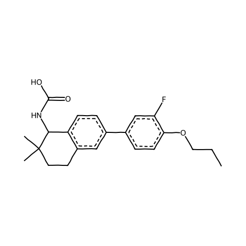 CCCOc1ccc(-c2ccc3c(c2)CCC(C)(C)C3NC(=O)O)cc1F